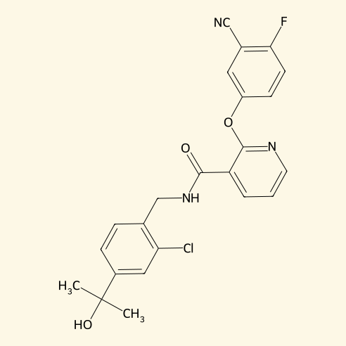 CC(C)(O)c1ccc(CNC(=O)c2cccnc2Oc2ccc(F)c(C#N)c2)c(Cl)c1